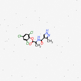 C=C(NC(=O)c1c[nH]nc1C)C(=O)Oc1c(Cl)cc(Cl)cc1Cl